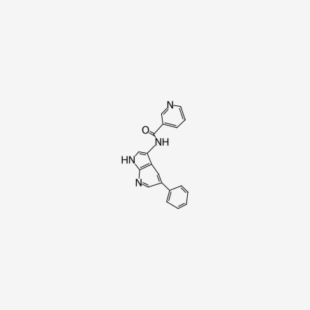 O=C(Nc1c[nH]c2ncc(-c3ccccc3)cc12)c1cccnc1